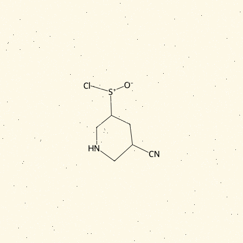 N#CC1CNCC([S+]([O-])Cl)C1